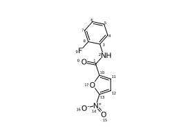 O=C(Nc1ccccc1F)c1ccc([N+](=O)[O-])o1